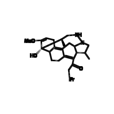 COC1=CCC2=C3CC4C5C(C(=O)CC(C)C)=C3CCC2[C@]1(O)[C@@H](C)CNN4CC5C